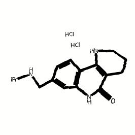 CC(C)NCc1ccc2c3c(c(=O)[nH]c2c1)CCCN3.Cl.Cl